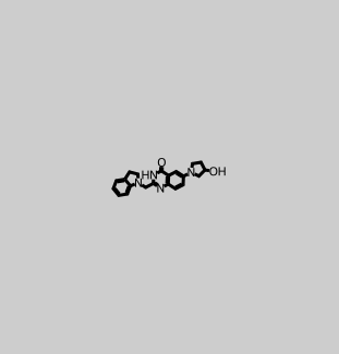 O=c1[nH]c(CN2CCc3ccccc32)nc2ccc(N3CCC(O)C3)cc12